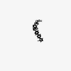 C[C@H]1CCCN1C1CCN(c2ccc(N3CCC4(CCN(OC(=O)OC(C)(C)C)CC4)C3=O)cc2)CC1